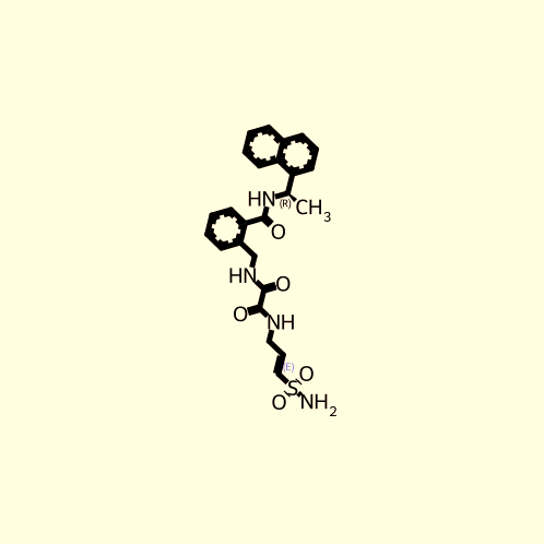 C[C@@H](NC(=O)c1ccccc1CNC(=O)C(=O)NC/C=C/S(N)(=O)=O)c1cccc2ccccc12